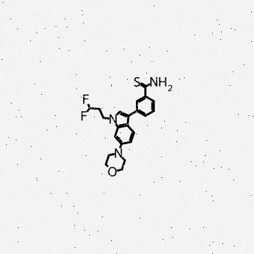 NC(=S)c1cccc(-c2cn(CCC(F)F)c3cc(N4CCOCC4)ccc23)c1